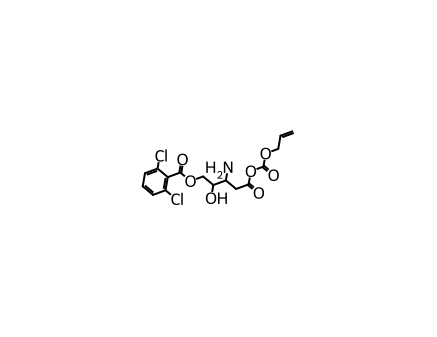 C=CCOC(=O)OC(=O)CC(N)C(O)COC(=O)c1c(Cl)cccc1Cl